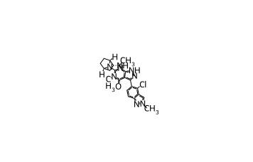 CN[C@@H]1C[C@@H]2CC[C@H]1N2c1nc2[nH]nc(-c3ccc4nn(C)cc4c3Cl)c2c(=O)n1C